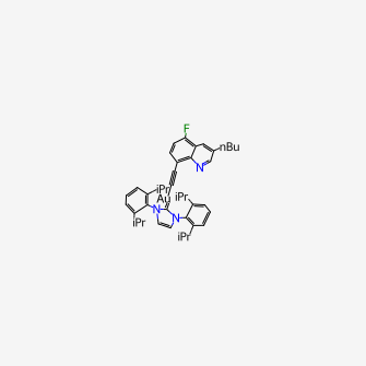 CCCCc1cnc2c(C#[C][Au]=[c]3n(-c4c(C(C)C)cccc4C(C)C)ccn3-c3c(C(C)C)cccc3C(C)C)ccc(F)c2c1